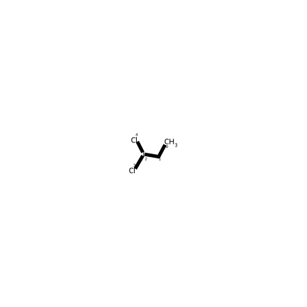 CCI(Cl)Cl